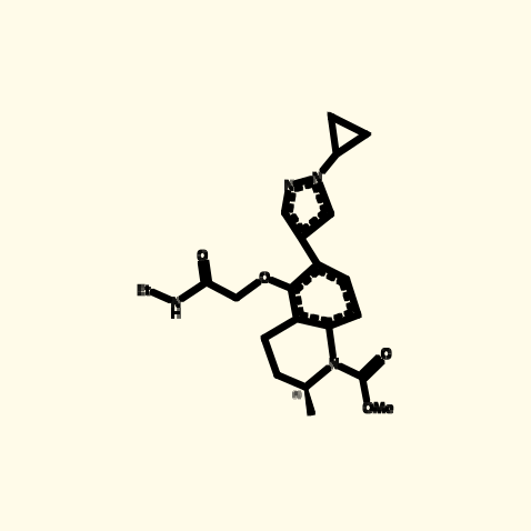 CCNC(=O)COc1c(-c2cnn(C3CC3)c2)ccc2c1CC[C@H](C)N2C(=O)OC